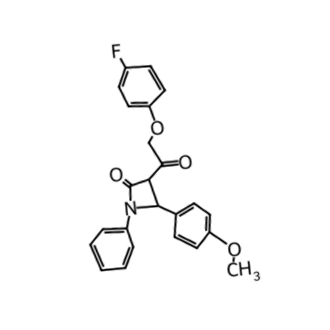 COc1ccc(C2C(C(=O)COc3ccc(F)cc3)C(=O)N2c2ccccc2)cc1